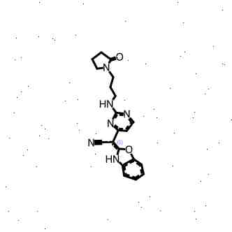 N#C/C(=C1\Nc2ccccc2O1)c1ccnc(NCCCN2CCCC2=O)n1